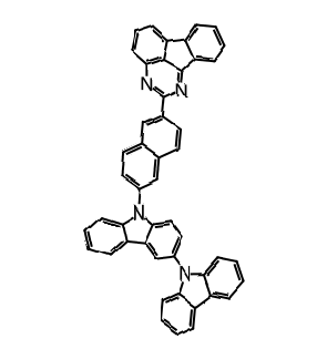 c1ccc2c(c1)-c1cccc3nc(-c4ccc5cc(-n6c7ccccc7c7cc(-n8c9ccccc9c9ccccc98)ccc76)ccc5c4)nc-2c13